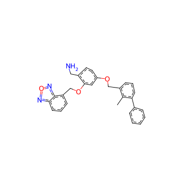 Cc1c(COc2ccc(CN)c(OCc3cccc4nonc34)c2)cccc1-c1ccccc1